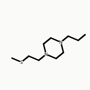 CCCN1CCN(CCSC)CC1